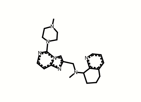 CN1CCN(c2nccc3nc(CN(C)C4CCCc5cccnc54)cn23)CC1